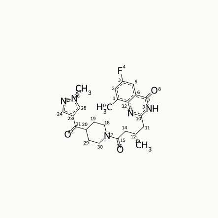 Cc1cc(F)cc2c(=O)[nH]c(C[C@H](C)CC(=O)N3CCC(C(=O)c4cnn(C)c4)CC3)nc12